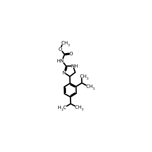 COC(=O)NC1=NC(c2ccc(C(C)C)cc2C(C)C)CN1